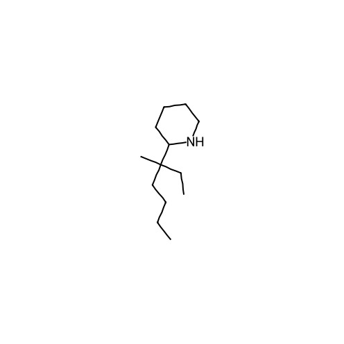 CCCCC(C)(CC)C1CCCCN1